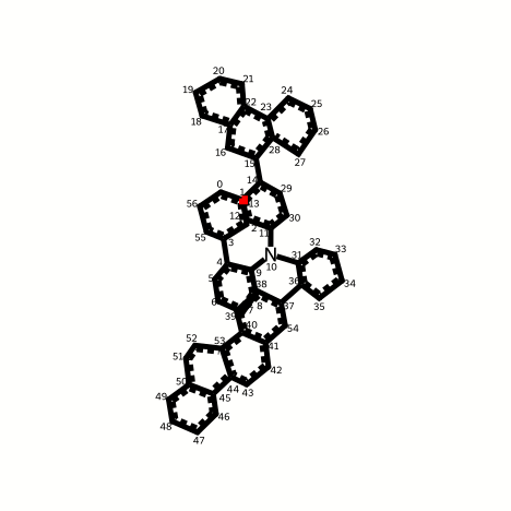 c1ccc(-c2ccccc2N(c2ccc(-c3cc4ccccc4c4ccccc34)cc2)c2ccccc2-c2ccc3c(ccc4c5ccccc5ccc34)c2)cc1